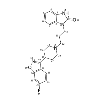 O=c1[nH]c2ccccc2n1CCCN1CCC(c2noc3cc(F)ccc23)CC1